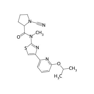 CC(C)Oc1cccc(-c2csc(N(C)C(=O)C3CCCN3C#N)n2)n1